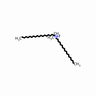 CCCCCCCCCCCCCCCCCCNC(C)(C)CCCCCCCCCCCCCCCCCC